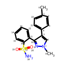 Cc1ccc(-c2cn(C)nc2-c2ccccc2S(N)(=O)=O)cc1